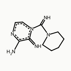 N=C(N1CCCCC1)n1ccnc(N)c1=N